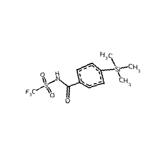 C[Si](C)(C)c1ccc(C(=O)NS(=O)(=O)C(F)(F)F)cc1